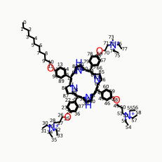 CCCCCCCCCCCOc1ccc(-c2c3nc(c(-c4ccc(OCCC[N+](CC)(CC)CC)cc4)c4ccc([nH]4)c(-c4ccc(OCCC[N+](CC)(CC)CC)cc4)c4nc(c(-c5ccc(OCC[N+](C)(CC)CC)cc5)c5ccc2[nH]5)C=C4)C=C3)cc1